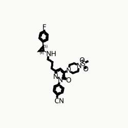 CS(=O)(=O)N1CCN(c2cc(CCCN[C@@H]3C[C@H]3c3ccc(F)cc3)nn(-c3ccc(C#N)cc3)c2=O)CC1